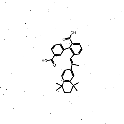 CC(=Cc1cccc(C(=O)O)c1-c1cccc(C(=O)O)c1)c1ccc2c(c1)C(C)(C)CCC2(C)C